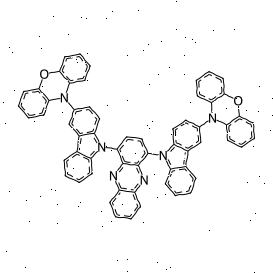 c1ccc2c(c1)Oc1ccccc1N2c1ccc2c(c1)c1ccccc1n2-c1ccc(-n2c3ccccc3c3cc(N4c5ccccc5Oc5ccccc54)ccc32)c2nc3ccccc3nc12